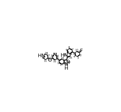 Fc1cccc(-c2cccc3[nH]c(-c4n[nH]c5ccc(-c6cncc(OC7CCNCC7)c6)cc45)cc23)c1